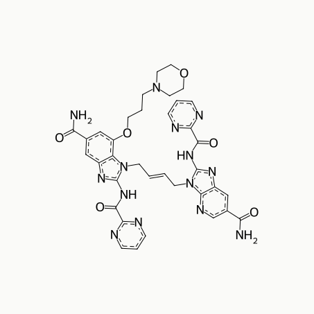 NC(=O)c1cnc2c(c1)nc(NC(=O)c1ncccn1)n2CC=CCn1c(NC(=O)c2ncccn2)nc2cc(C(N)=O)cc(OCCCN3CCOCC3)c21